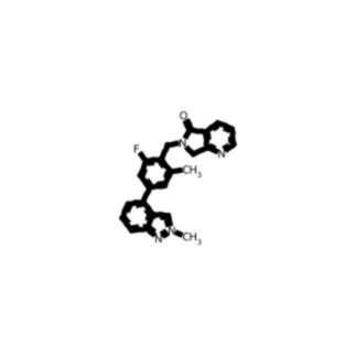 Cc1cc(-c2cccc3nn(C)cc23)cc(F)c1CN1Cc2ncccc2C1=O